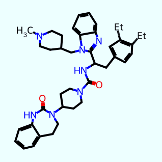 CCc1ccc(CC(NC(=O)N2CCC(N3CCc4ccccc4NC3=O)CC2)c2nc3ccccc3n2CC2CCN(C)CC2)cc1CC